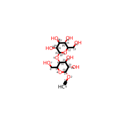 C#CO[C@@H]1OC(CO)[C@@H](O[C@@H]2OC(CO)[C@H](O)C(O)[C@@H]2O)C(O)[C@@H]1O